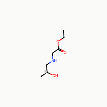 CCOC(=O)CNC[C@H](C)O